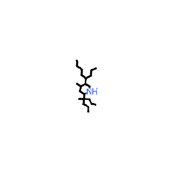 CCCCC(CCC)C1CNC(C(C)(CCC)CCC)CC1C